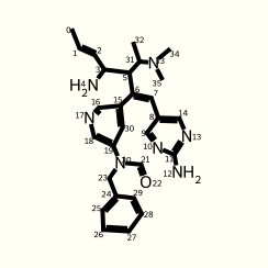 CC=CC(N)C(/C(=C/c1cnc(N)nc1)c1cncc(N(C=O)Cc2ccccc2)c1)C(C)N(C)C